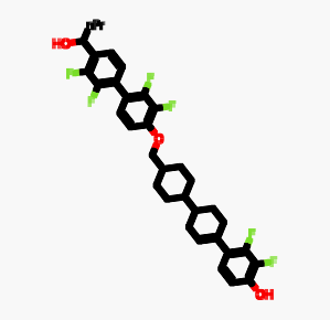 CCCC(O)c1ccc(-c2ccc(OCC3CCC(C4CC=C(c5ccc(O)c(F)c5F)CC4)CC3)c(F)c2F)c(F)c1F